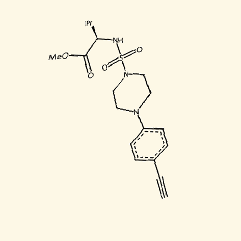 C#Cc1ccc(N2CCN(S(=O)(=O)N[C@@H](C(=O)OC)C(C)C)CC2)cc1